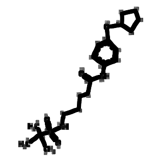 CC(C)(C)S(=O)(=O)NCCCCC(=O)Nc1ccc(OC2CCCC2)cc1